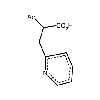 CC(=O)C(Cc1ccccn1)C(=O)O